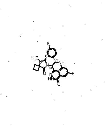 CN1C(=S)N([C@@H]2c3n[nH]c(=O)c4cc(F)cc(c34)N[C@H]2c2ccc(F)cc2)C(=O)C12CCC2